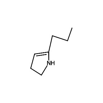 CCCC1=CCCN1